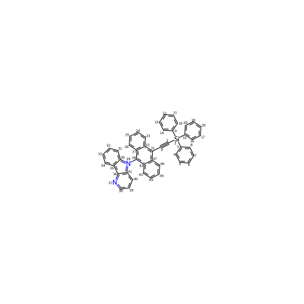 C(#C[Si](c1ccccc1)(c1ccccc1)c1ccccc1)c1c2ccccc2c(-n2c3ccccc3c3ncccc32)c2ccccc12